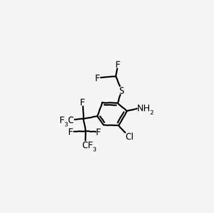 Nc1c(Cl)cc(C(F)(C(F)(F)F)C(F)(F)C(F)(F)F)cc1SC(F)F